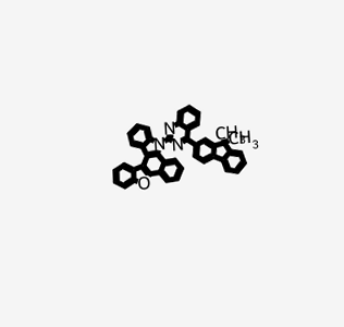 CC1(C)c2ccccc2-c2ccc(-c3nc(-n4c5ccccc5c5c6c7ccccc7oc6c6ccccc6c54)nc4ccccc34)cc21